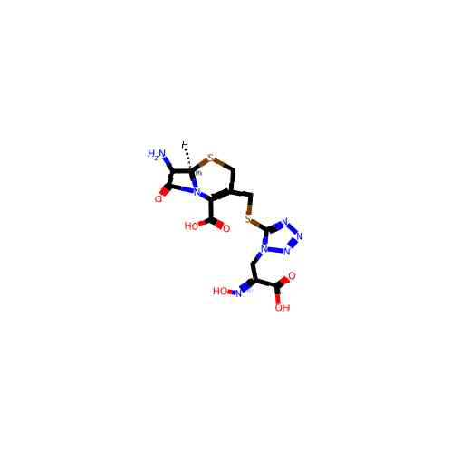 NC1C(=O)N2C(C(=O)O)=C(CSc3nnnn3C/C(=N\O)C(=O)O)CS[C@H]12